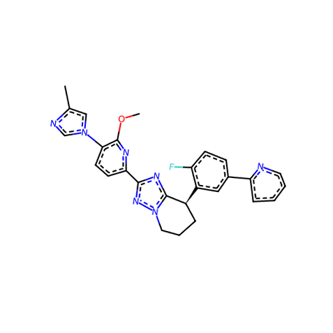 COc1nc(-c2nc3n(n2)CCC[C@@H]3c2cc(-c3ccccn3)ccc2F)ccc1-n1cnc(C)c1